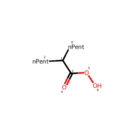 CCCCCC(CCCCC)C(=O)OO